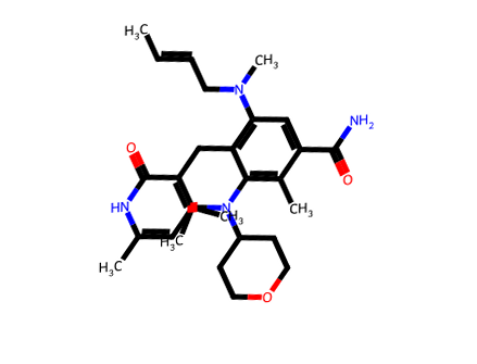 CC=CCN(C)c1cc(C(N)=O)c(C)c(N(CC)C2CCOCC2)c1Cc1c(C)cc(C)[nH]c1=O